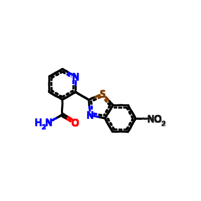 NC(=O)c1cccnc1-c1nc2ccc([N+](=O)[O-])cc2s1